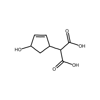 O=C(O)C(C(=O)O)C1C=CC(O)C1